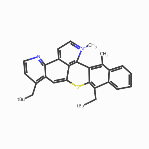 Cc1c2c(c(CC(C)(C)C)c3ccccc13)Sc1cc3c(CC(C)(C)C)ccnc3c3cc[n+](C)c-2c13